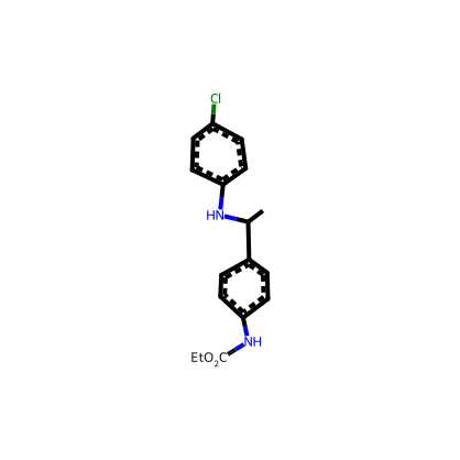 CCOC(=O)Nc1ccc(C(C)Nc2ccc(Cl)cc2)cc1